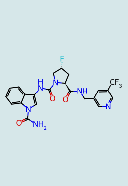 NC(=O)n1cc(NC(=O)N2C[C@H](F)C[C@H]2C(=O)NCc2cncc(C(F)(F)F)c2)c2ccccc21